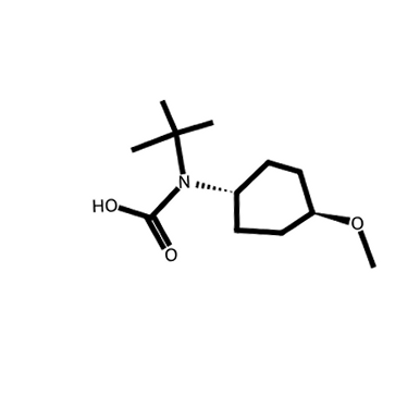 CO[C@H]1CC[C@H](N(C(=O)O)C(C)(C)C)CC1